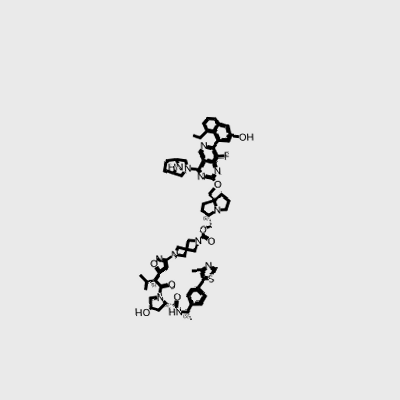 CCc1cccc2cc(O)cc(-c3ncc4c(N5CC6CCC(C5)N6)nc(OC[C@@]56CCCN5[C@H](COC(=O)N5CC7(C5)CN(c5cc([C@@H](C(=O)N8C[C@H](O)C[C@H]8C(=O)N[C@@H](C)c8ccc(-c9scnc9C)cc8)C(C)C)on5)C7)CC6)nc4c3F)c12